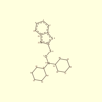 c1ccc2sc(SON(C3CCCCC3)C3CCCCC3)nc2c1